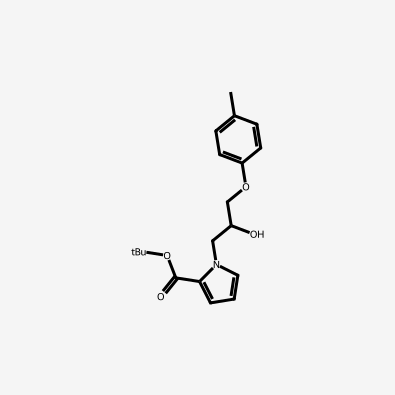 Cc1ccc(OCC(O)Cn2cccc2C(=O)OC(C)(C)C)cc1